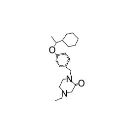 CCN1CCN(Cc2ccc(OC(C)C3CCCCC3)cc2)C(=O)C1